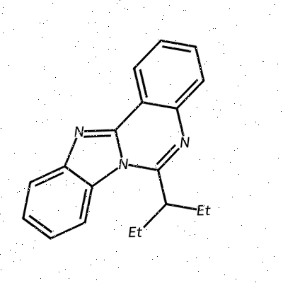 CCC(CC)c1nc2ccccc2c2nc3ccccc3n12